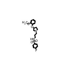 COc1ccccc1OC1CCN(CCCNS(=O)(=O)c2ccc(F)cc2)C1